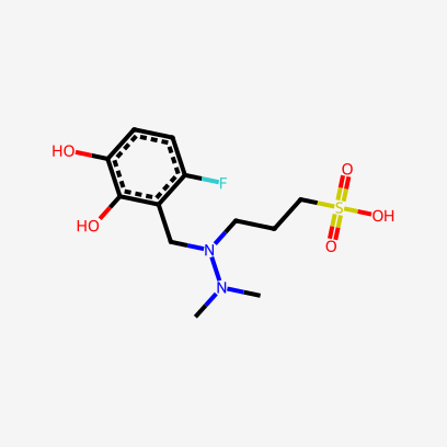 CN(C)N(CCCS(=O)(=O)O)Cc1c(F)ccc(O)c1O